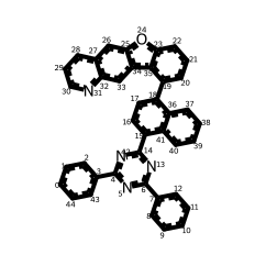 c1ccc(-c2nc(-c3ccccc3)nc(-c3ccc(-c4cccc5oc6cc7cccnc7cc6c45)c4ccccc34)n2)cc1